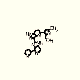 Cn1cc(-c2ccc3[nH]nc(-c4nc5c(-c6cccnc6)nccc5[nH]4)c3n2)c(CO)n1